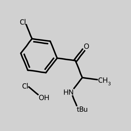 CC(NC(C)(C)C)C(=O)c1cccc(Cl)c1.OCl